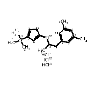 Cc1cc(C)cc(C[CH](C)[Ti][C]2=CC([Si](C)(C)C)=CC2)c1.Cl.Cl.Cl